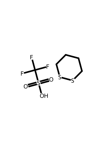 C1CCSSC1.O=S(=O)(O)C(F)(F)F